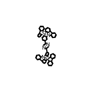 c1ccc2c(c1)-c1ccccc1[Si]21c2ccc(-c3cnc(-c4ccc5c(c4)-n4c6ccccc6c6cccc(c64)[Si]54c5ccccc5-c5ccccc54)cn3)cc2-n2c3ccccc3c3cccc1c32